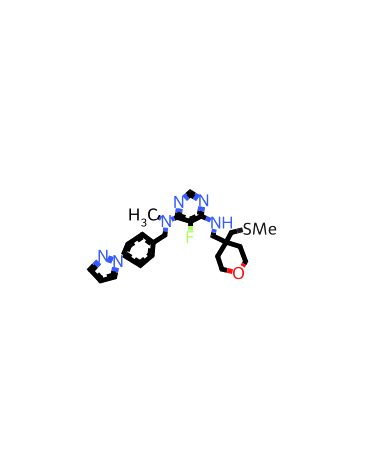 CSCC1(CNc2ncnc(N(C)Cc3ccc(-n4cccn4)cc3)c2F)CCOCC1